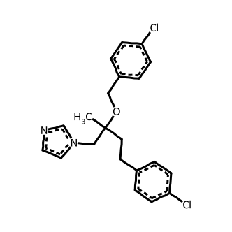 CC(CCc1ccc(Cl)cc1)(Cn1ccnc1)OCc1ccc(Cl)cc1